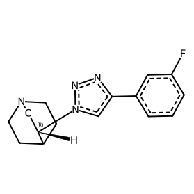 Fc1cccc(-c2cn([C@H]3CN4CCC3CC4)nn2)c1